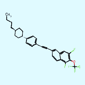 CCCC[C@H]1CC[C@H](c2ccc(C#Cc3ccc4c(F)c(OC(F)(F)F)c(F)cc4c3)cc2)CC1